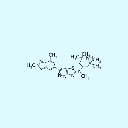 Cc1cc(-c2cc3sc(N(C)C4CC(C)(C)NC(C)(C)C4)nc3nn2)cc2cn(C)nc12